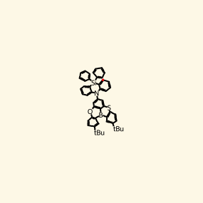 CC(C)(C)c1ccc2c(c1)B1c3cc(C(C)(C)C)ccc3Sc3cc(N4c5ccccc5[Si](c5ccccc5)(c5ccccc5)c5ccccc54)cc(c31)O2